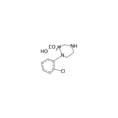 Clc1ccccc1N1CCNCC1.O=C(O)O